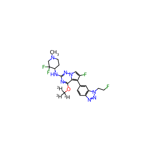 [2H]C([2H])([2H])Oc1nc(N[C@@H]2CCN(C)CC2(F)F)nn2cc(F)c(-c3ccc4nnn(CCF)c4c3)c12